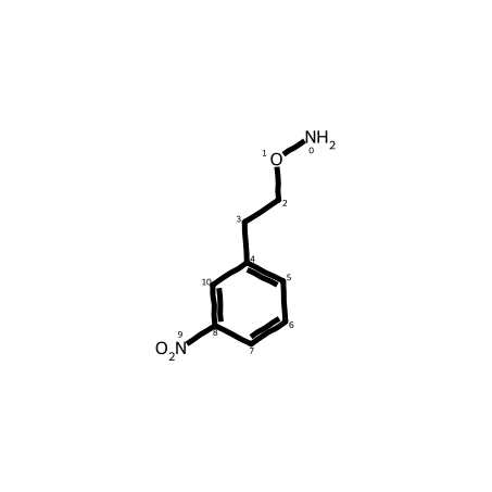 NOCCc1cccc([N+](=O)[O-])c1